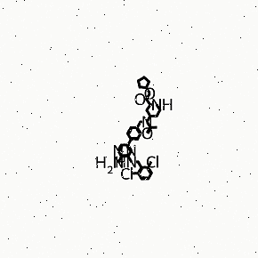 CC(=O)N(Cc1ccc(-c2cnc(N)c(NCc3c(Cl)cccc3Cl)n2)cc1)C1CCNC(C(=O)OC2CCCC2)C1